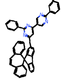 C1=Cc2ccccc2C2(c3ccccc31)c1ccccc1-c1ccc(-c3cc(-c4cnc(-c5ccccc5)nc4)nc(-c4ccccc4)n3)cc12